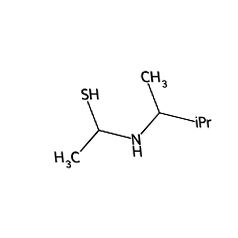 CC(S)NC(C)C(C)C